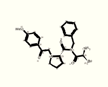 CC[C@H](C)[C@H](N)C(=O)N(Cc1ccccc1)C(=O)[C@@H]1CCCN1CC(=O)c1ccc(OC)cc1